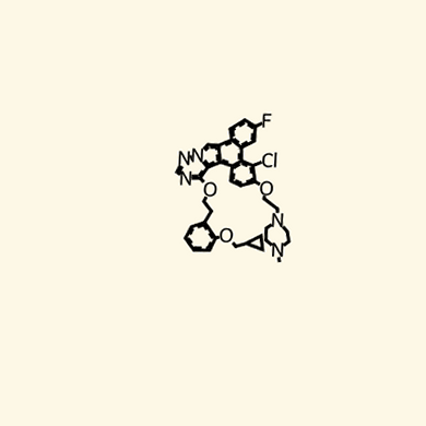 CN1CCN(CCOc2ccc3c(c2Cl)c2cc(F)ccc2c2cn4ncnc(OCCc5ccccc5OCC5CC5)c4c23)CC1